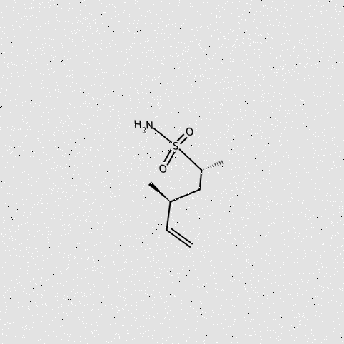 C=C[C@@H](C)C[C@@H](C)S(N)(=O)=O